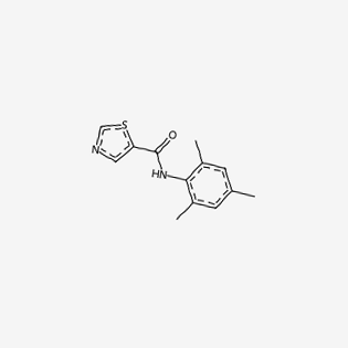 Cc1cc(C)c(NC(=O)c2cncs2)c(C)c1